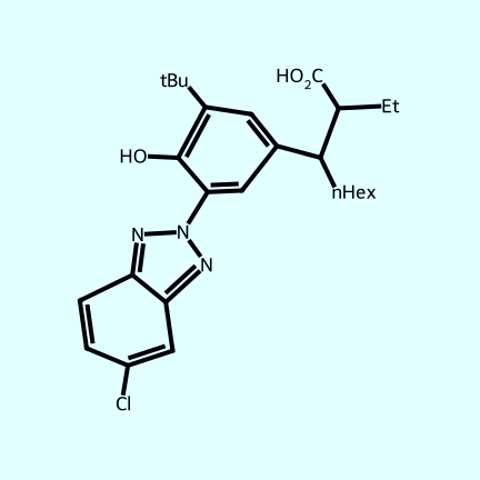 CCCCCCC(c1cc(-n2nc3ccc(Cl)cc3n2)c(O)c(C(C)(C)C)c1)C(CC)C(=O)O